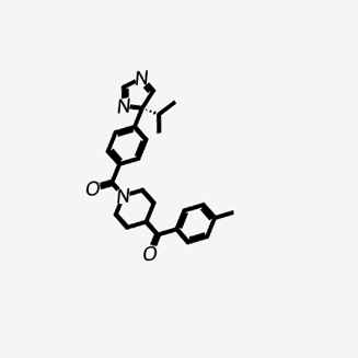 Cc1ccc(C(=O)C2CCN(C(=O)c3ccc([C@]4(C(C)C)C=NC=N4)cc3)CC2)cc1